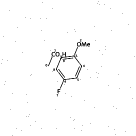 CC(=O)O.COc1ccc(F)cc1